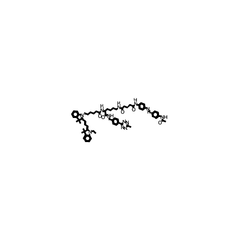 CCN1/C(=C/C=C/C2=[N+](CCCCCC(=O)NC(CCCCNC(=O)CCCC(=O)Nc3ccc(N=Nc4ccc(NC(C)=O)cc4)cc3)C(=O)NCc3ccc(-c4nnc(C)nn4)cc3)c3ccccc3C2(C)C)C(C)(C)c2ccccc21